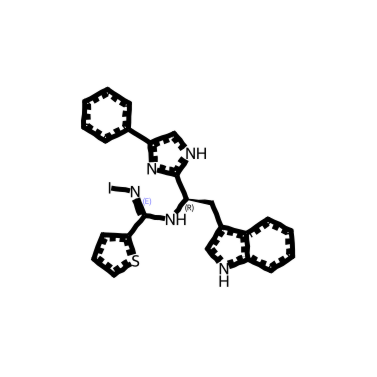 I/N=C(/N[C@H](Cc1c[nH]c2ccccc12)c1nc(-c2ccccc2)c[nH]1)c1cccs1